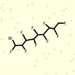 FCC(F)C(F)C(F)C(F)C(F)C(F)C(F)C(F)Br